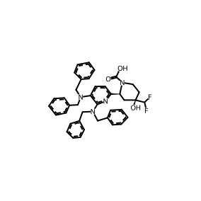 O=C(O)N1CC[C@](O)(C(F)F)C[C@H]1c1ccc(N(Cc2ccccc2)Cc2ccccc2)c(N(Cc2ccccc2)Cc2ccccc2)n1